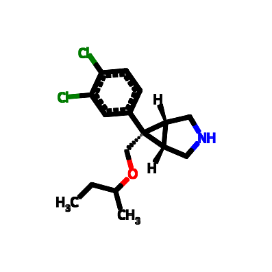 CCC(C)OC[C@]1(c2ccc(Cl)c(Cl)c2)[C@@H]2CNC[C@@H]21